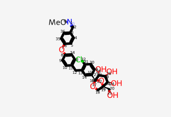 CO/N=C\c1ccc(Oc2ccc(Cc3cc([C@]45OC[C@](CO)(O4)[C@@H](O)[C@H](O)[C@H]5O)ccc3Cl)cc2)cc1